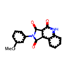 COc1cccc(N2C(=O)c3c(c4ccccc4[nH]c3=O)C2=O)c1